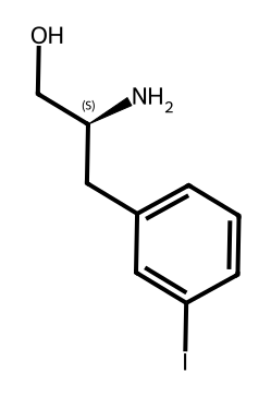 N[C@H](CO)Cc1cccc(I)c1